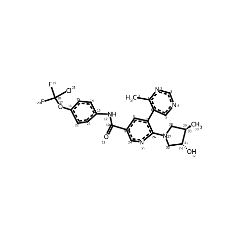 Cc1ncncc1-c1cc(C(=O)Nc2ccc(OC(F)(F)Cl)cc2)cnc1N1C[C@@H](C)[C@H](O)C1